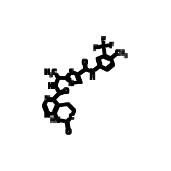 Cc1ccc(NC(=O)c2cnc(C(C)NC(=O)c3ncnc4c3CCCC(=O)N4)s2)cc1C(F)(F)F